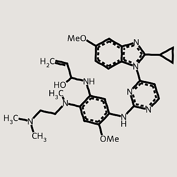 C=CC(O)Nc1cc(Nc2nccc(-n3c(C4CC4)nc4cc(OC)ccc43)n2)c(OC)cc1N(C)CCN(C)C